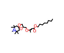 CCCCCCCCOC(=O)C=C(C)OCC1COC2(CC(C)(C)N(C)C(C)(C)C2)O1